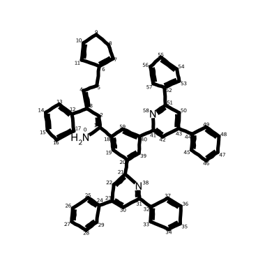 N/C(=C\C(=C/CC1=CCCC=C1)c1ccccc1)c1cc(-c2cc(-c3ccccc3)cc(-c3ccccc3)n2)cc(-c2cc(-c3ccccc3)cc(-c3ccccc3)n2)c1